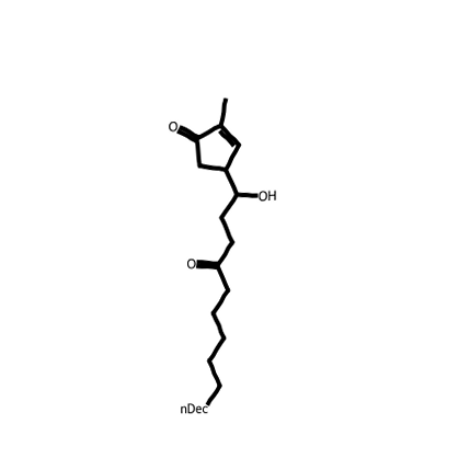 CCCCCCCCCCCCCCCC(=O)CCC(O)C1C=C(C)C(=O)C1